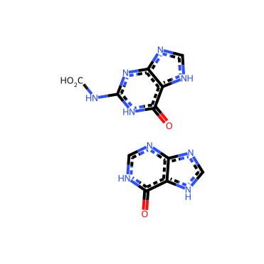 O=C(O)Nc1nc2nc[nH]c2c(=O)[nH]1.O=c1[nH]cnc2nc[nH]c12